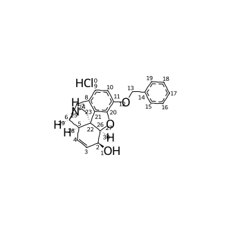 Cl.O[C@H]1C=C[C@H]2[C@H]3Cc4ccc(OCc5ccccc5)c5c4[C@@]2(CCN3)[C@H]1O5